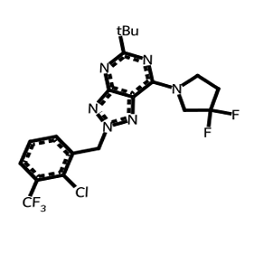 CC(C)(C)c1nc(N2CCC(F)(F)C2)c2nn(Cc3cccc(C(F)(F)F)c3Cl)nc2n1